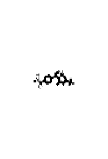 CNC(=O)c1ccc(-c2cnn3cc(C(C)(C)C)[c]c(C)c23)cc1